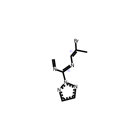 C=N/C(=N\C=C(/C)Br)n1nccn1